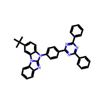 CC(C)(C)c1ccc2c(c1)n1c3ccccc3nc1n2-c1ccc(-c2nc(-c3ccccc3)nc(-c3ccccc3)n2)cc1